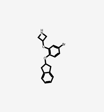 Brc1ccc(OC2Cc3ccccc3C2)c(OC2CNC2)c1